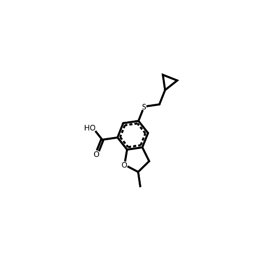 CC1Cc2cc(SCC3CC3)cc(C(=O)O)c2O1